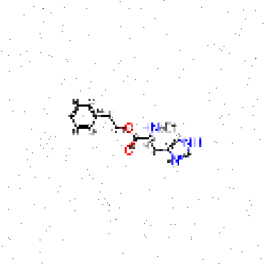 CCN[C@@H](Cc1c[nH]cn1)C(=O)OCCc1ccccc1